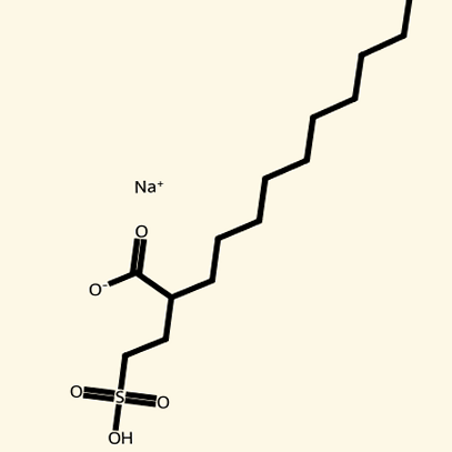 CCCCCCCCCCC(CCS(=O)(=O)O)C(=O)[O-].[Na+]